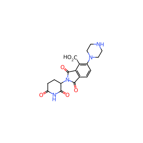 O=C1CCC(N2C(=O)c3ccc(N4CCNCC4)c(C(=O)O)c3C2=O)C(=O)N1